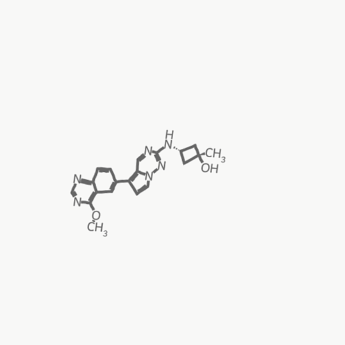 COc1ncnc2ccc(-c3ccn4nc(N[C@H]5C[C@@](C)(O)C5)ncc34)cc12